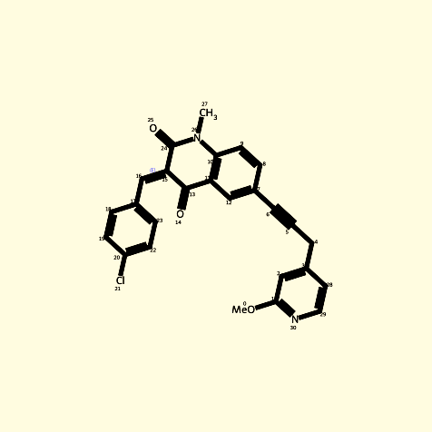 COc1cc(CC#Cc2ccc3c(c2)C(=O)/C(=C\c2ccc(Cl)cc2)C(=O)N3C)ccn1